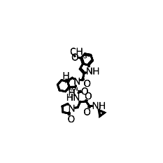 COc1cccc2[nH]c(C(=O)N3C[C@@H]4CCCC[C@@H]4[C@H]3C(=O)NC(CN3CCCC3=O)C(=O)C(=O)NC3CC3)cc12